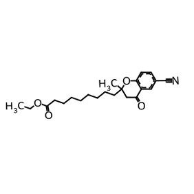 CCOC(=O)CCCCCCCCC1(C)CC(=O)c2cc(C#N)ccc2O1